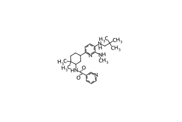 CNc1nc(C2CCC(C)(C)C(NS(=O)(=O)c3cccnc3)C2)ccc1NCC(C)(C)C